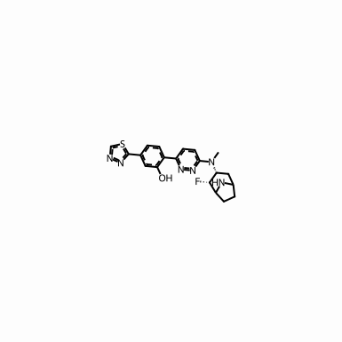 CN(c1ccc(-c2ccc(-c3nncs3)cc2O)nn1)[C@@H]1CC2CCC(N2)[C@@H]1F